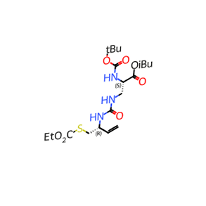 C=C[C@H](CSC(=O)OCC)NC(=O)NC[C@H](NC(=O)OC(C)(C)C)C(=O)OCC(C)C